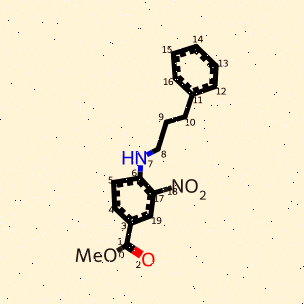 COC(=O)c1ccc(NCCCc2ccccc2)c([N+](=O)[O-])c1